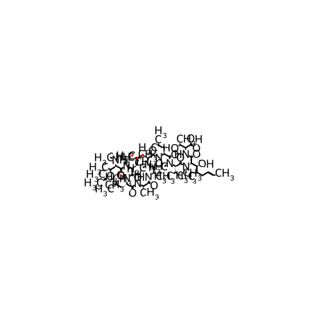 C/C=C/C[C@@H](C)[C@@H](O)[C@@H](C(=O)N[C@H](C(=O)O)[C@@H](C)O)N(C)C(=O)[C@H](C(C)C)N(C)C(=O)[C@H](CC(C)C)NC(=O)[C@H](CC(C)C)N(C)C(=O)[C@@H](C)NC(=O)[C@H](C)NC(=O)[C@H](CC(C)C)N(C)C(=O)[C@H](CC(C)C)NC(=O)[C@@H](NC)C(C)OC(C)(C)C